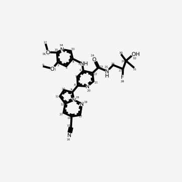 COc1cc(Nc2cc(-c3ccc4cc(C#N)cnn34)ncc2C(=O)NCC(F)C(C)(C)O)cnc1OC